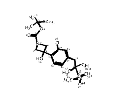 CC(C)(C)OC(=O)N1CC(O)(c2ccc(CC(C)(C)[Si](C)(C)O)cc2Cl)C1